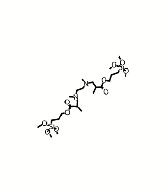 CO[Si](CCCOC(=O)C(C)CN(C)CCN(C)CC(C)C(=O)OCCC[Si](OC)(OC)OC)(OC)OC